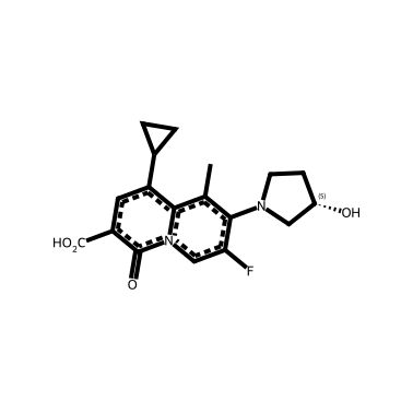 Cc1c(N2CC[C@H](O)C2)c(F)cn2c(=O)c(C(=O)O)cc(C3CC3)c12